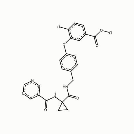 O=C(NC1(C(=O)NCc2ccc(Oc3cc(C(=O)OCl)ccc3Cl)cc2)CC1)c1cncnc1